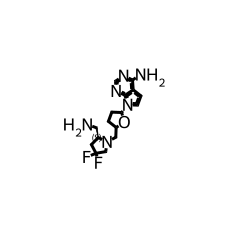 NC[C@@H]1CC(F)(F)CN1CC1CCC(n2ccc3c(N)ncnc32)O1